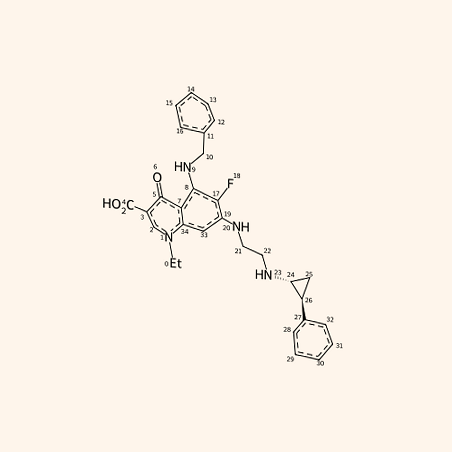 CCn1cc(C(=O)O)c(=O)c2c(NCc3ccccc3)c(F)c(NCCN[C@@H]3C[C@H]3c3ccccc3)cc21